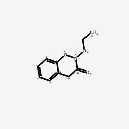 CCON1Oc2ccccc2CC1=O